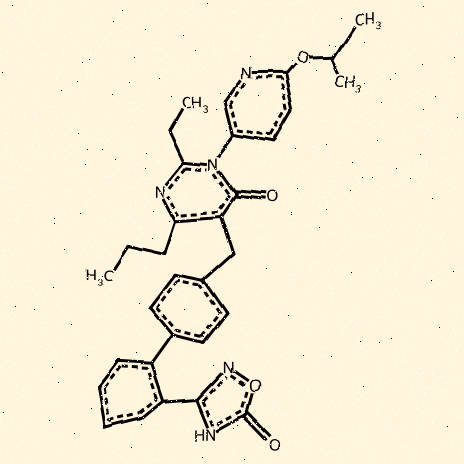 CCCc1nc(CC)n(-c2ccc(OC(C)C)nc2)c(=O)c1Cc1ccc(-c2ccccc2-c2noc(=O)[nH]2)cc1